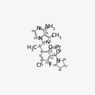 Cc1nc(C(C)c2cc(Cl)c(F)c(C(=O)N3CCCC3)c2OC(C)C)n2ccnc(N)c12